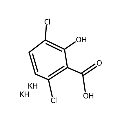 O=C(O)c1c(Cl)ccc(Cl)c1O.[KH].[KH]